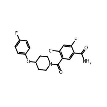 NC(=O)c1cc(C(=O)N2CCC(Oc3ccc(F)cc3)CC2)c(Cl)cc1F